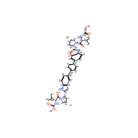 COC(=O)NC(C(=O)N1C[C@@H](C)C[C@H]1c1nc2cc(-c3ccc(-c4ccc5nc([C@@H]6C[C@H](C)CN6C(=O)C(NC(=O)OC)C(C)C)oc5c4)cc3)ccc2[nH]1)C(C)C